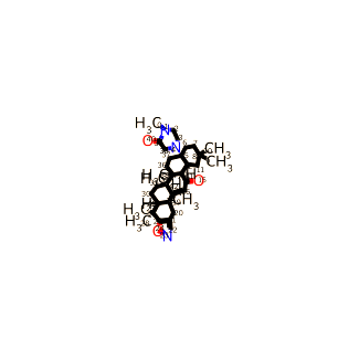 CN1CCN([C@]23CCC(C)(C)C[C@H]2[C@H]2C(=O)C=C4[C@@]5(C)Cc6cnoc6C(C)(C)[C@@H]5CC[C@@]4(C)[C@]2(C)CC3)CC1=O